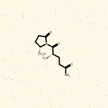 NC(=O)CC[C@H](N)C(=O)N1C(=O)CC[C@H]1C(=O)O